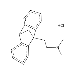 CN(C)CCC12CC(c3ccccc31)c1ccccc12.Cl